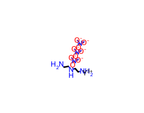 NCCNCCN.O=[N+]([O-])[O-].O=[N+]([O-])[O-].O=[N+]([O-])[O-].[Y+3]